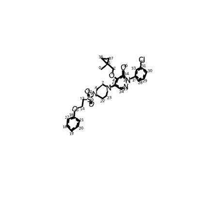 CC1(COc2c(N3CCN(S(=O)(=O)CCOc4ccccc4)CC3)cnn(-c3cccc(Cl)c3)c2=O)CC1